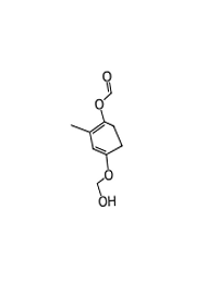 CC1=C(OC=O)CCC(OCO)=C1